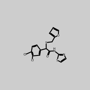 O=C(Nc1nccs1)C(SCc1ccco1)c1ccc(Cl)c(Cl)c1